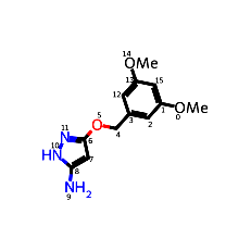 COc1cc(COc2cc(N)[nH]n2)cc(OC)c1